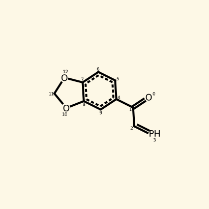 O=C(C=P)c1ccc2c(c1)OCO2